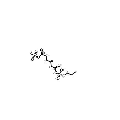 CCCOS(=O)(=O)OC(=O)CCCCC(=O)OS(C)(=O)=O